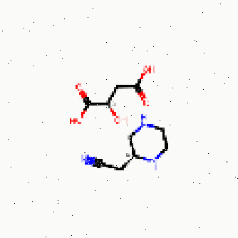 N#CC[C@H]1CNCCN1.O=C(O)C[C@@H](O)C(=O)O